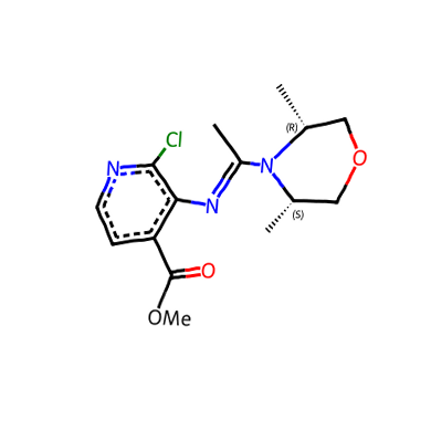 COC(=O)c1ccnc(Cl)c1N=C(C)N1[C@H](C)COC[C@@H]1C